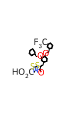 O=C(O)CN1C(=O)C(=Cc2ccc(OCc3cccc(C(F)(F)F)c3)c(OCc3ccccc3)c2)SC1=S